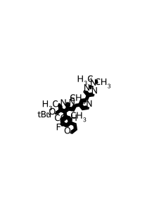 Cc1nc2c(cc(-c3ccnc(-c4cnc(N(C)C)nc4)c3)n2C)c(-c2cc(F)c3c(c2C)CCCO3)c1C(OC(C)(C)C)C(=O)O